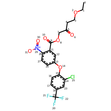 CCOCCC(=O)COC(=O)c1cc(Oc2ccc(C(F)(F)F)cc2Cl)ccc1[N+](=O)[O-]